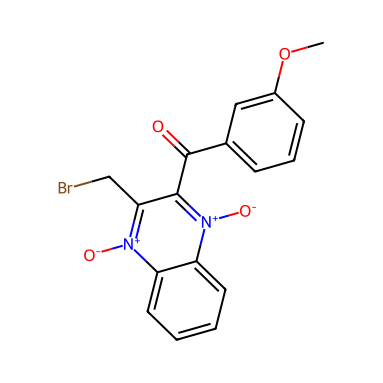 COc1cccc(C(=O)c2c(CBr)[n+]([O-])c3ccccc3[n+]2[O-])c1